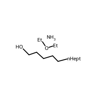 CCCCCCCCCCCCO.CCOCC.N